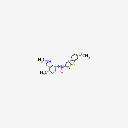 CNCC1=CC(NC(=O)c2cn3c(n2)sc2cc(OC)ccc23)=CCC1C